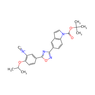 [C-]#[N+]c1cc(-c2nc(-c3ccc4c(ccn4C(=O)OC(C)(C)C)c3)no2)ccc1OC(C)C